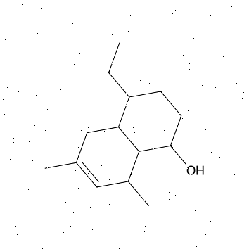 CCC1CCC(O)C2C(C)C=C(C)CC12